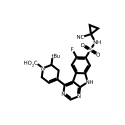 CC(C)(C)C1CC(c2ncnc3[nH]c4cc(S(=O)(=O)NC5(C#N)CC5)c(F)cc4c23)=CCN1C(=O)O